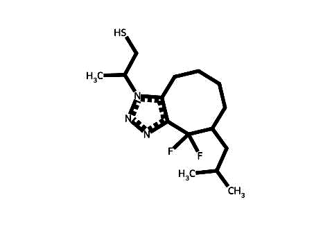 CC(C)CC1CCCCc2c(nnn2C(C)CS)C1(F)F